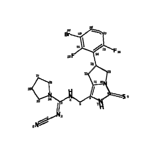 N#CN=C(NCc1[nH]c(=S)n2c1CC(c1c(F)ccc(Br)c1F)C2)N1CCCC1